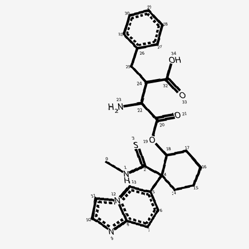 CNC(=S)C1(c2ccc3nccn3c2)CCCCC1OC(=O)C(N)C(Cc1ccccc1)C(=O)O